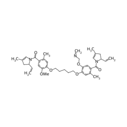 C=CC1CC(C)=CN1C(=O)c1cc(OC)c(OCCCCCOc2cc(C)c(C(=O)N3C=C(C)CC3C=C)cc2OCN=C)cc1C